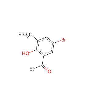 CCOC(=O)c1cc(Br)cc(C(=O)CC)c1O